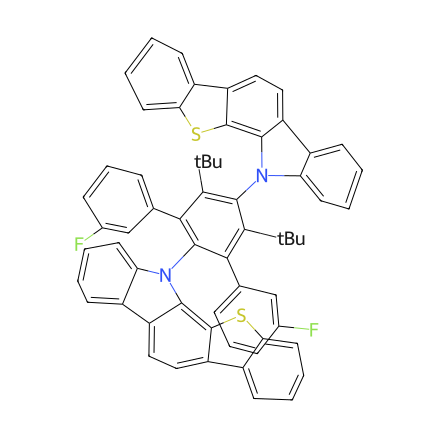 CC(C)(C)c1c(-c2cccc(F)c2)c(-n2c3ccccc3c3ccc4c5ccccc5sc4c32)c(-c2cccc(F)c2)c(C(C)(C)C)c1-n1c2ccccc2c2ccc3c4ccccc4sc3c21